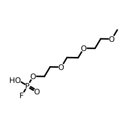 COCCOCCOCCOP(=O)(O)F